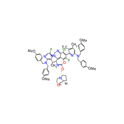 COc1ccc(CN(Cc2ccc(OC)cc2)c2cc(C)c(C(F)(F)F)c(-c3c(F)c4c5c(c3Cl)=NCNC=5C(C(C)c3cc(F)cnc3N(Cc3ccc(OC)cc3)Cc3ccc(OC)cc3)N=C(OC[C@@H]3CC[C@H]5COCCN53)O4)n2)cc1